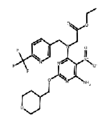 CCOC(=O)CN(Cc1ccc(C(F)(F)F)nc1)c1nc(OCC2CCOCC2)nc(N)c1[N+](=O)[O-]